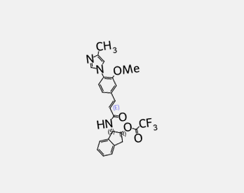 COc1cc(/C=C/C(=O)N[C@H]2c3ccccc3C[C@H]2OC(=O)C(F)(F)F)ccc1-n1cnc(C)c1